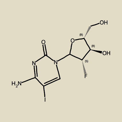 Nc1nc(=O)n(C2O[C@H](CO)[C@@H](O)[C@@H]2F)cc1I